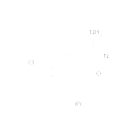 CC(C)c1cc(Cl)cc2c(N)noc12